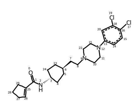 O=C(N[C@H]1CC[C@H](CCN2CCN(c3ccc(Cl)c(Cl)c3)CC2)CC1)C1=CCCC1